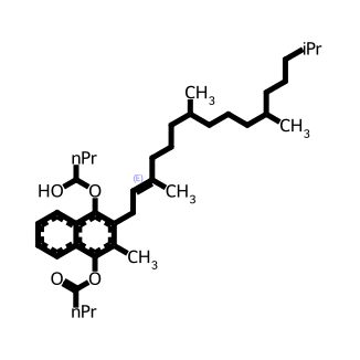 CCCC(=O)Oc1c(C)c(C/C=C(\C)CCCC(C)CCCC(C)CCCC(C)C)c(OC(O)CCC)c2ccccc12